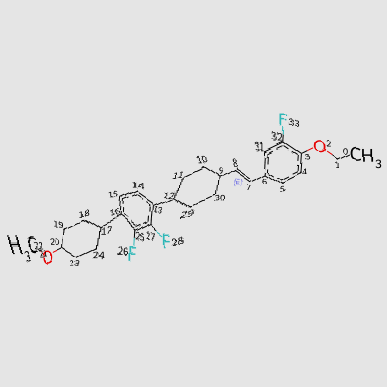 CCOc1ccc(/C=C/C2CCC(c3ccc(C4CCC(OC)CC4)c(F)c3F)CC2)cc1F